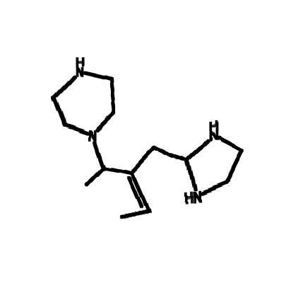 C/C=C(/CC1NCCN1)C(C)N1CCNCC1